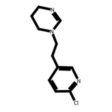 Clc1ccc(CCN2C=NCCC2)cn1